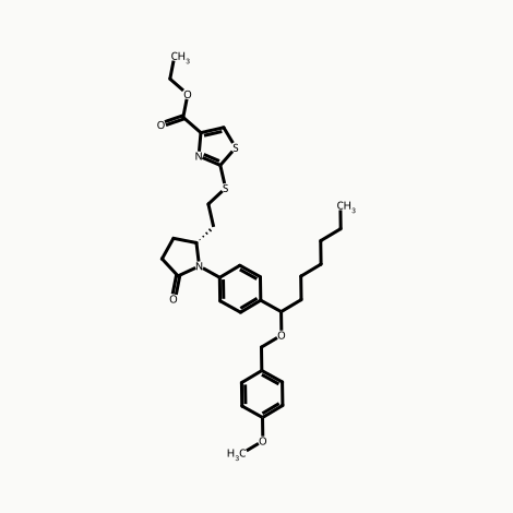 CCCCCCC(OCc1ccc(OC)cc1)c1ccc(N2C(=O)CC[C@@H]2CCSc2nc(C(=O)OCC)cs2)cc1